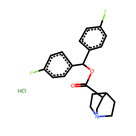 Cl.O=C(OC(c1ccc(F)cc1)c1ccc(F)cc1)C1CN2CCC1CC2